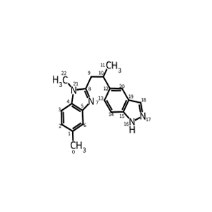 Cc1ccc2c(c1)nc(CC(C)c1ccc3[nH]ncc3c1)n2C